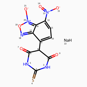 O=C1NC(=S)NC(=O)C1c1ccc([N+](=O)[O-])c2c1no[n+]2[O-].[NaH]